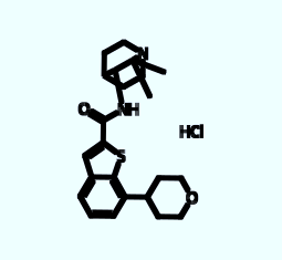 CC1(C)C(NC(=O)c2cc3cccc(C4CCOCC4)c3s2)C2CCN1CC2.Cl